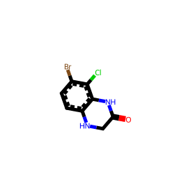 O=C1CNc2ccc(Br)c(Cl)c2N1